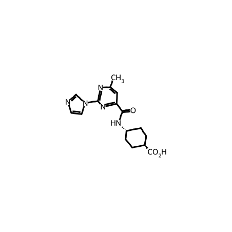 Cc1cc(C(=O)N[C@H]2CC[C@H](C(=O)O)CC2)nc(-n2ccnc2)n1